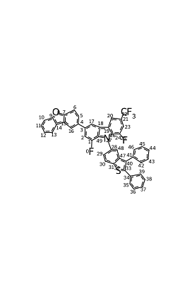 Fc1cc(-c2ccc3oc4ccccc4c3c2)cc2c3cc(C(F)(F)F)cc(F)c3n(-c3ccc4sc(-c5ccccc5)c(-c5ccccc5)c4c3)c12